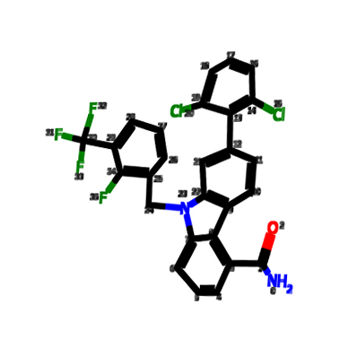 NC(=O)c1cccc2c1c1[c]cc(-c3c(Cl)cccc3Cl)cc1n2Cc1cccc(C(F)(F)F)c1F